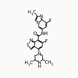 Cc1cn2cc(NC(=O)c3c(F)cc(N4CC(C)NC(C)C4)c4csnc34)cc(F)c2n1